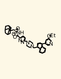 CCOc1cncc(-c2ccc(CN3CCN(c4ccc(C(=O)NS(=O)(=O)CC56CC7CC(CC(C7)C5)C6)nn4)CC3)c3ccccc23)c1